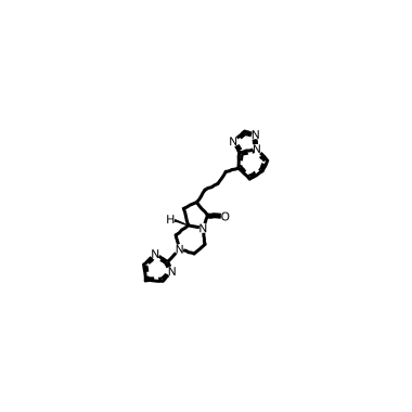 O=C1C(CCCc2cccn3ncnc23)C[C@H]2CN(c3ncccn3)CCN12